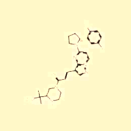 CC(C)(O)C1CN(C(=O)C=Cc2cnn3ccc(N4CCC[C@@H]4c4cc(F)ccc4F)nc23)CCN1